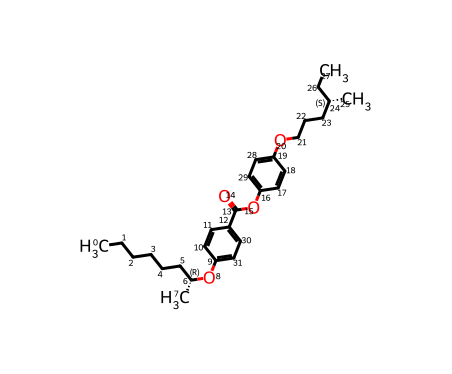 CCCCCC[C@@H](C)Oc1ccc(C(=O)Oc2ccc(OCCC[C@@H](C)CC)cc2)cc1